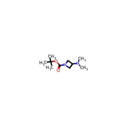 CN(C)C1CN(C(=O)OC(C)(C)C)C1